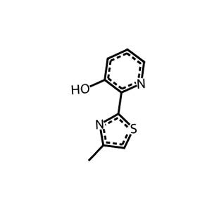 Cc1csc(-c2ncccc2O)n1